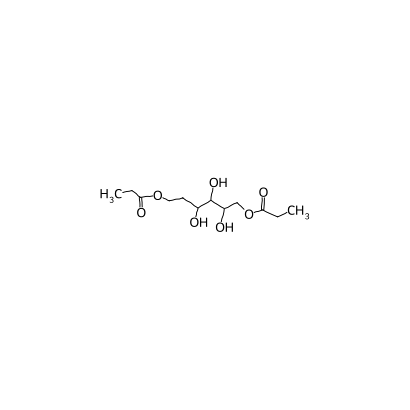 CCC(=O)OCCC(O)C(O)C(O)COC(=O)CC